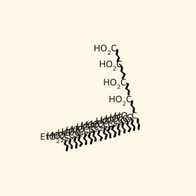 C=CC=CC(=O)O.C=CC=CC(=O)O.C=CC=CC(=O)O.C=CC=CC(=O)O.C=CC=CC(=O)O.C=CC=CC(=O)O.C=CC=CC(=O)O.C=CC=CC(=O)O.C=CC=CC(=O)O.C=CC=CC(=O)O.C=CC=CC(=O)O.C=CC=CC(=O)O.C=CC=CC(=O)O.C=CC=CC(=O)O.C=CC=CC(=O)O.C=CC=CC(=O)O.C=CC=CC(=O)O.C=CC=CC(=O)O.C=CC=CC(=O)O.C=CC=CC(=O)OCC